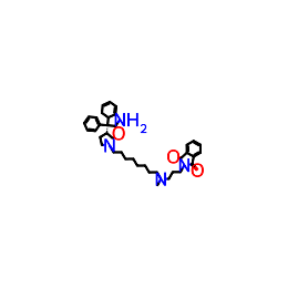 CN(CCCCCCCCN1CCC([C@](C(N)=O)(c2ccccc2)C2C=CC=CC2)C1)CCCN1C(=O)c2ccccc2C1=O